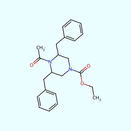 [CH2]C(=O)N1C(Cc2ccccc2)CN(C(=O)OCC)CC1Cc1ccccc1